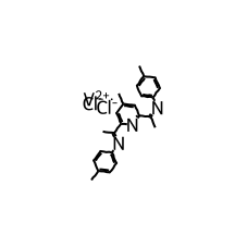 CC(=Nc1ccc(C)cc1)c1cc(C)cc(C(C)=Nc2ccc(C)cc2)n1.[Cl-].[Cl-].[V+2]